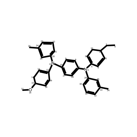 CCC1C=CC(N(c2ccc(N(C3=CCC(OC)C=C3)c3cccc(C)c3)cc2)c2cccc(C)c2)=CC1